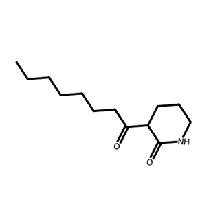 CCCCCCCC(=O)C1CCCNC1=O